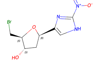 O=[N+]([O-])c1nc([C@H]2C[C@H](O)[C@@H](CBr)O2)c[nH]1